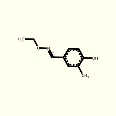 CCO/N=C/c1ccc(O)c(C)c1